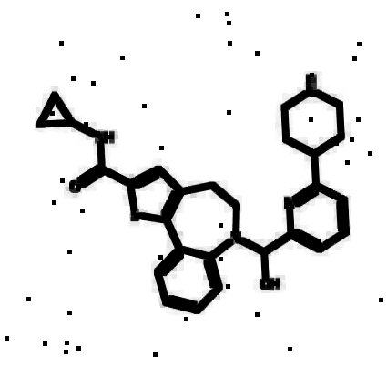 O=C(NC1CC1)c1cc2c(s1)-c1ccccc1N(C(O)c1cccc(C3CCNCC3)n1)CC2